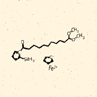 COC(CCCCCCCCCC(=O)[c-]1cccc1[SiH3])OC.[Fe+2].c1cc[cH-]c1